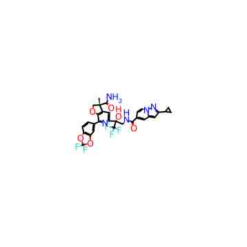 C[C@]1(C(N)=O)COc2c1cc(C(O)(CNC(=O)c1ccn3nc(C4CC4)cc3c1)C(F)(F)F)nc2-c1ccc2c(c1)OC(F)(F)O2